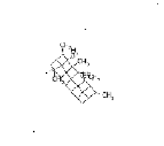 BC12C(C)C3C[C@@]4(C)C5C6C7C8CC9C(C)C%10(C)C98C78C%10(C)C7(C)C1(C)C5(C678)C324